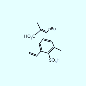 C=Cc1cccc(C)c1S(=O)(=O)O.CCCCC=C(C)C(=O)O